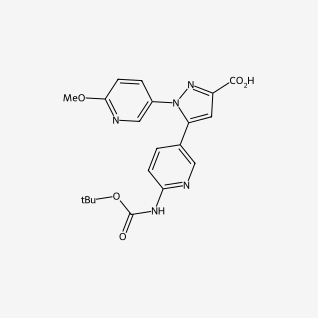 COc1ccc(-n2nc(C(=O)O)cc2-c2ccc(NC(=O)OC(C)(C)C)nc2)cn1